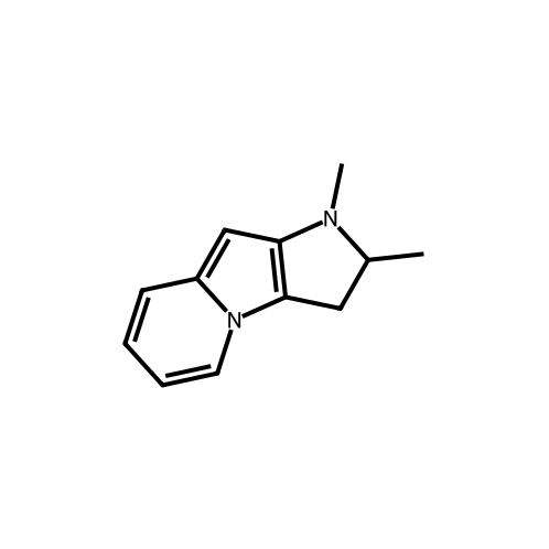 CC1Cc2c(cc3ccccn23)N1C